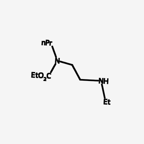 CCCN(CCNCC)C(=O)OCC